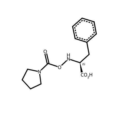 O=C(O)[C@H](Cc1ccccc1)NOC(=O)N1CCCC1